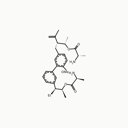 C=C(C)[C@@H](Cc1ccc(OC)c(-c2cccc([C@H](CC)[C@H](C)OC(=O)[C@H](C)N)c2)c1)[C@H](C)OC(=O)[C@H](C)N